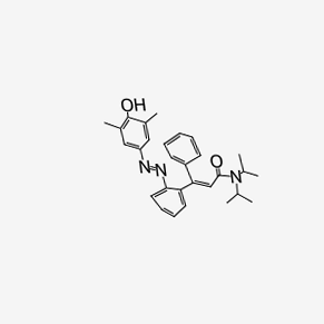 Cc1cc(/N=N/c2ccccc2/C(=C/C(=O)N(C(C)C)C(C)C)c2ccccc2)cc(C)c1O